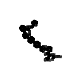 COC(=O)N[C@H](C(=O)N1CCC[C@H]1c1ncc(-c2ccc(-c3ccc(-c4cnc(C5C6CCC(C6)[C@@H]5C(=O)NCc5ccco5)[nH]4)cc3)cc2)[nH]1)[C@@H](C)OC